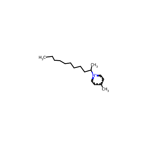 CCCCCCCCCC(C)[n+]1ccc(C)cc1